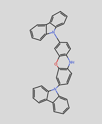 c1ccc2c(c1)c1ccccc1n2-c1ccc2c(c1)Oc1cc(-n3c4ccccc4c4ccccc43)ccc1N2